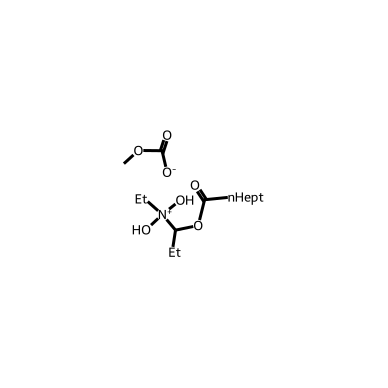 CCCCCCCC(=O)OC(CC)[N+](O)(O)CC.COC(=O)[O-]